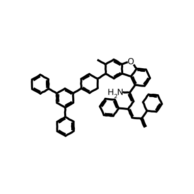 C=C(/C=C(\C=C(/N)c1cccc2oc3c(c12)=CC(C1C=CC(c2cc(-c4ccccc4)cc(-c4ccccc4)c2)=CC1)C(C)C=3)c1ccccc1)C1C=CC=CC1